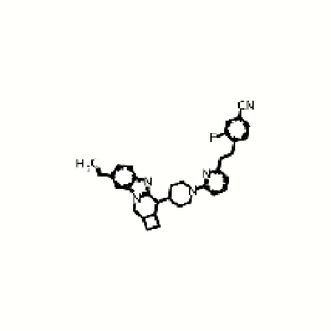 C=Cc1ccc2nc3n(c2c1)CC1CCC1C3C1CCN(c2cccc(CCc3ccc(C#N)cc3F)n2)CC1